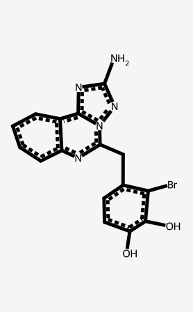 Nc1nc2c3ccccc3nc(Cc3ccc(O)c(O)c3Br)n2n1